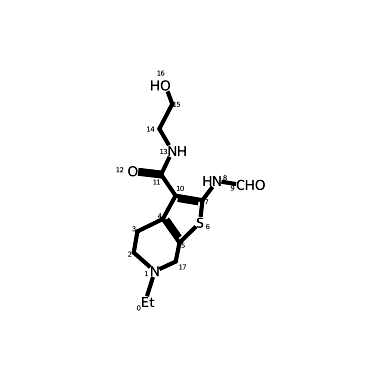 CCN1CCc2c(sc(NC=O)c2C(=O)NCCO)C1